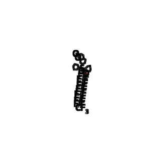 O=C(OS(c1ccccc1)(c1ccccc1)c1ccc2ccc(=O)oc2c1)C(F)(F)C(F)(F)C(F)(F)C(F)(F)C(F)(F)C(F)(F)C(F)(F)C(F)(F)C(F)(F)C(F)(F)C(F)(F)F